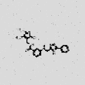 Cc1nn(C)c(C)c1CNC(=O)c1cccc(NCc2nnc(-c3ccncc3)[nH]2)c1